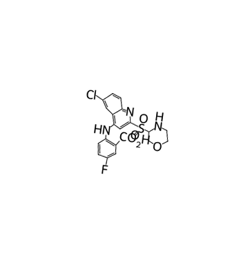 O=C(O)c1cc(F)ccc1Nc1cc(S(=O)(=O)C2COCCN2)nc2ccc(Cl)cc12